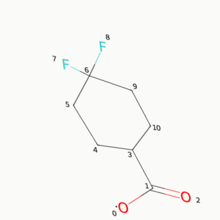 [O]C(=O)C1CCC(F)(F)CC1